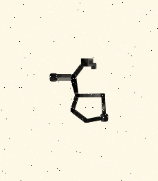 NC(=O)[C@@H]1CCOC1